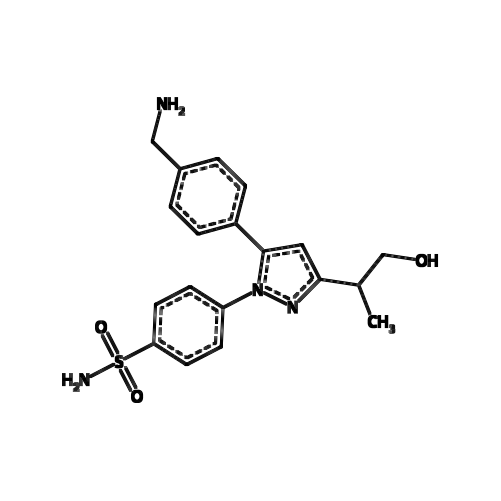 CC(CO)c1cc(-c2ccc(CN)cc2)n(-c2ccc(S(N)(=O)=O)cc2)n1